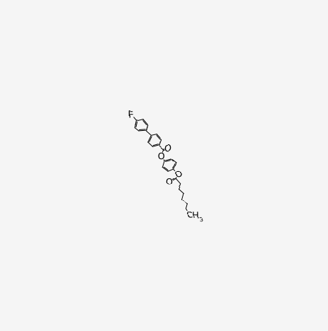 CCCCCCCC(=O)Oc1ccc(OC(=O)c2ccc(-c3ccc(F)cc3)cc2)cc1